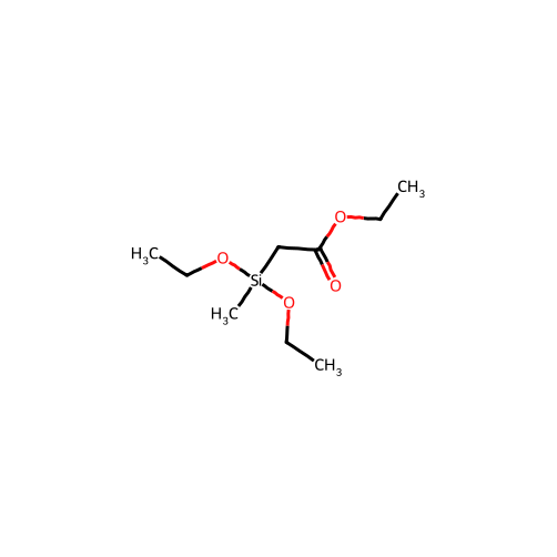 CCOC(=O)C[Si](C)(OCC)OCC